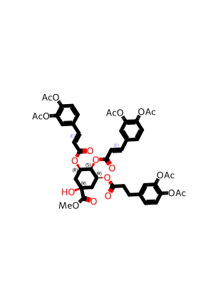 COC(=O)[C@]1(O)C[C@@H](OC(=O)/C=C/c2ccc(OC(C)=O)c(OC(C)=O)c2)[C@@H](OC(=O)/C=C/c2ccc(OC(C)=O)c(OC(C)=O)c2)[C@H](OC(=O)CCc2ccc(OC(C)=O)c(OC(C)=O)c2)C1